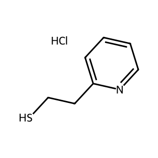 Cl.SCCc1ccccn1